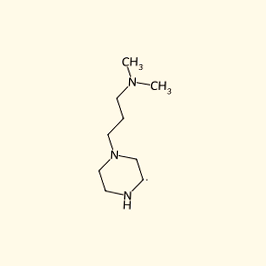 CN(C)CCCN1C[CH]NCC1